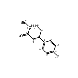 CC(C)(C)OC(=O)NC(CN)c1ccc(F)cc1